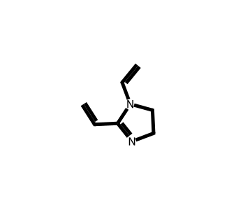 C=CC1=NCCN1C=C